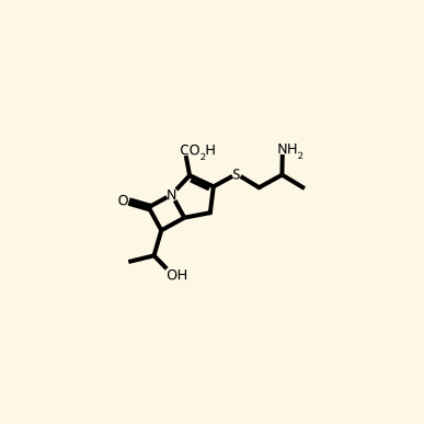 CC(N)CSC1=C(C(=O)O)N2C(=O)C(C(C)O)C2C1